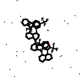 FC(F)(F)c1ccc(C(F)(F)F)c(-c2cccc3cccc(-n4c5ccccc5c5c(-c6ccc(-c7cc(C(F)(F)F)ccc7C(F)(F)F)c7c(-n8c9ccccc9c9ccccc98)cccc67)cccc54)c23)c1